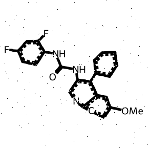 COc1ccc2ncc(NC(=O)Nc3ccc(F)cc3F)c(-c3ccccc3)c2c1